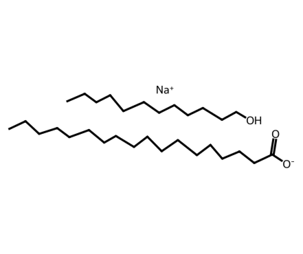 CCCCCCCCCCCCCCCCCC(=O)[O-].CCCCCCCCCCCCO.[Na+]